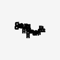 CCC(CC)C/C(I)=C\CC(O)COc1cc2ncnc(Nc3ccc(Cl)c(Cl)c3)c2cc1O